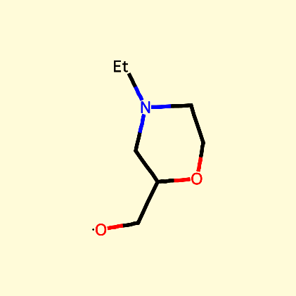 CCN1CCOC(C[O])C1